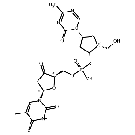 Cc1cn([C@H]2CC(=O)[C@@H](COP(=O)(O)OC3C[C@H](n4cnc(N)nc4=O)S[C@@H]3CO)O2)c(=O)[nH]c1=O